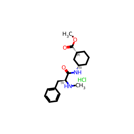 CN[C@@H](Cc1ccccc1)C(=O)N[C@H]1CCC[C@@H](C(=O)OC)C1.Cl